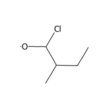 CCC(C)C([O])Cl